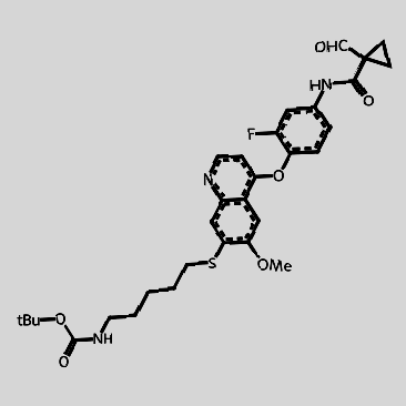 COc1cc2c(Oc3ccc(NC(=O)C4(C=O)CC4)cc3F)ccnc2cc1SCCCCCNC(=O)OC(C)(C)C